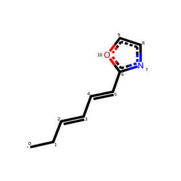 [CH2]CC=CC=Cc1ncco1